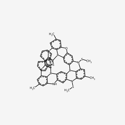 CSN1c2cc3c(cc2B2c4cc5c(cc4N(SC)c4cc(C)cc1c42)Oc1cc(C)cc2c1B5c1sc4ccccc4c1O2)B1c2sc4ccccc4c2Oc2cc(C)cc(c21)N3